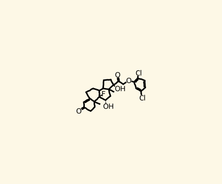 CC12C[C@H](O)[C@@]3(F)C(CCC4=CC(=O)CCC43C)C1CC[C@]2(O)C(=O)COc1cc(Cl)ccc1Cl